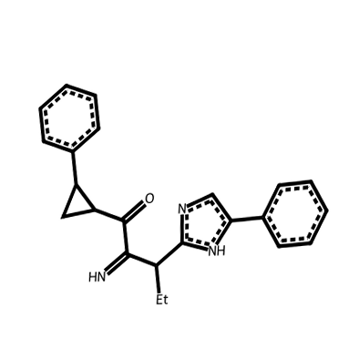 CCC(C(=N)C(=O)C1CC1c1ccccc1)c1ncc(-c2ccccc2)[nH]1